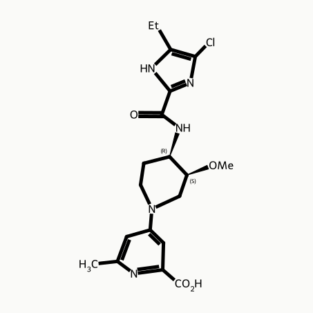 CCc1[nH]c(C(=O)N[C@@H]2CCN(c3cc(C)nc(C(=O)O)c3)C[C@@H]2OC)nc1Cl